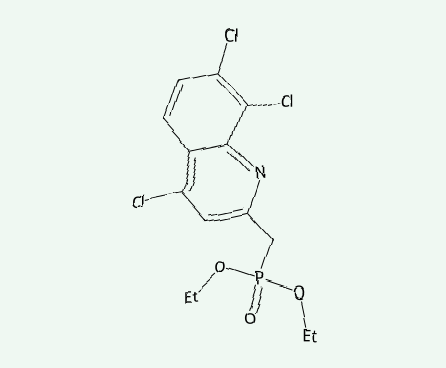 CCOP(=O)(Cc1cc(Cl)c2ccc(Cl)c(Cl)c2n1)OCC